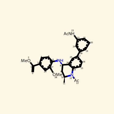 C=C(OC)c1ccc(N[C@@H]2C[C@H](C)N(C(C)=O)c3ccc(-c4cccc(NC(C)=O)c4)cc32)c(OC)c1